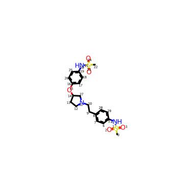 CS(=O)(=O)Nc1ccc(CCN2CCC(Oc3ccc(NS(C)(=O)=O)cc3)C2)cc1